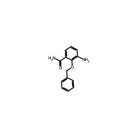 NC(=O)c1cccc(N)c1OCc1ccccc1